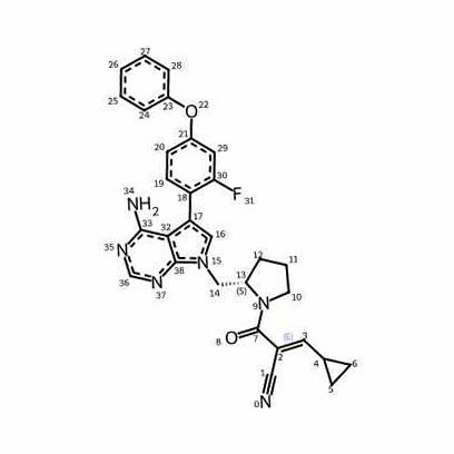 N#C/C(=C\C1CC1)C(=O)N1CCC[C@H]1Cn1cc(-c2ccc(Oc3ccccc3)cc2F)c2c(N)ncnc21